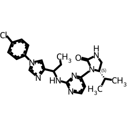 CCC(Nc1nccc(N2C(=O)NC[C@@H]2C(C)C)n1)c1cn(-c2ccc(Cl)cc2)cn1